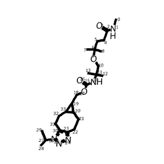 CNC(=O)CCC(C)(C)OCC(C)(C)NC(=O)OCC1C2CCc3nnn(C(C)C)c3CCC21